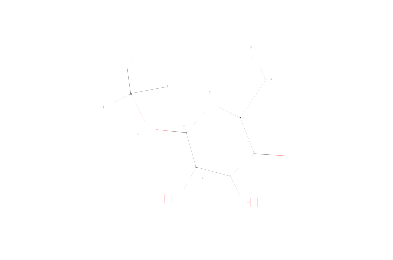 CC(C)(C)OC1OC(CO)C(O)C(O)C1O